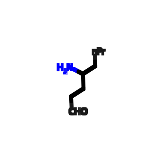 CCCCC(N)CCC=O